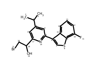 CC(C)c1cc(-c2csc3c(F)cccc23)nc(C(O)CBr)c1